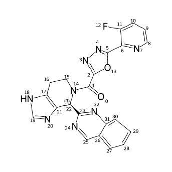 O=C(c1nnc(-c2ncccc2F)o1)N1CCc2[nH]cnc2[C@@H]1c1ncc2ccccc2n1